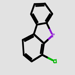 Clc1cccc2c1[I+]c1ccccc1-2